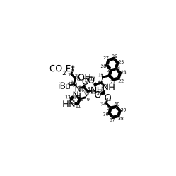 CCOC(=O)C[C@H](O)[C@@H](NC(=O)[C@@H](Cc1c[nH]cn1)NC(=O)[C@@H](Cc1cccc2ccccc12)NC(=O)OCc1ccccc1)C(C)CC